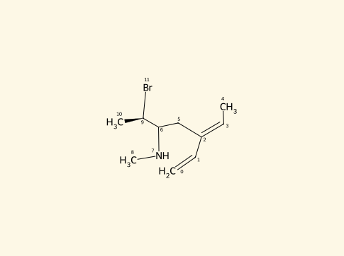 C=C/C(=C/C)CC(NC)[C@@H](C)Br